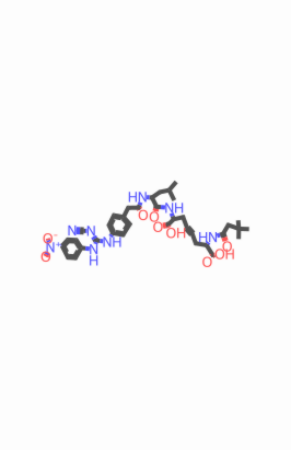 CC(C)CC(NC(=O)Cc1ccc(NC(=NC#N)Nc2ccc([N+](=O)[O-])cc2)cc1)C(=O)NC(CC#CCC(NC(=O)CC(C)(C)C)C(=O)O)C(=O)O